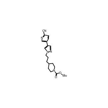 CC(C)(C)OC(=O)N1CCC(CCCn2cc(-c3ccc(C#N)nc3)cn2)CC1